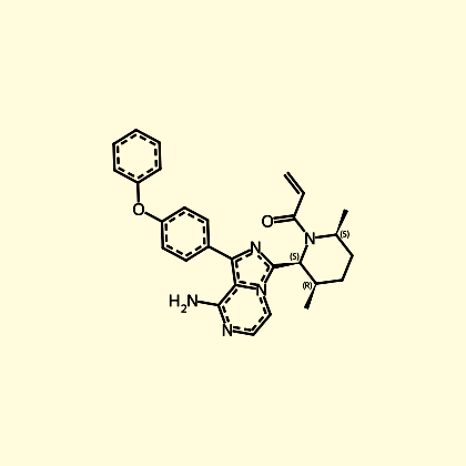 C=CC(=O)N1[C@H](c2nc(-c3ccc(Oc4ccccc4)cc3)c3c(N)nccn23)[C@H](C)CC[C@@H]1C